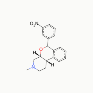 CN1CC[C@H]2c3ccccc3C(c3cccc([N+](=O)[O-])c3)O[C@H]2C1